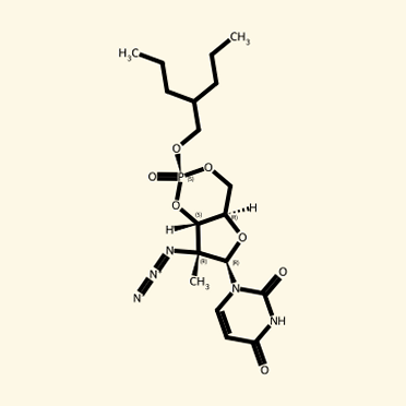 CCCC(CCC)CO[P@@]1(=O)OC[C@H]2O[C@@H](n3ccc(=O)[nH]c3=O)[C@](C)(N=[N+]=[N-])[C@@H]2O1